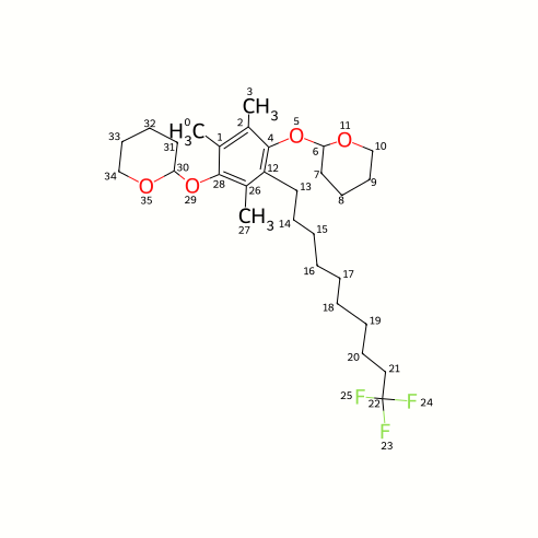 Cc1c(C)c(OC2CCCCO2)c(CCCCCCCCCC(F)(F)F)c(C)c1OC1CCCCO1